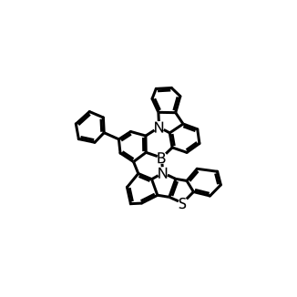 c1ccc(-c2cc3c4c(c2)-n2c5ccccc5c5cccc(c52)B4n2c4c-3cccc4c3sc4ccccc4c32)cc1